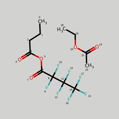 CCCC(=O)OC(=O)C(F)(F)C(F)(F)C(F)(F)F.CCOC(C)=O